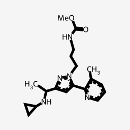 COC(=O)NCCCn1nc(C(C)NC2CC2)cc1-c1ncccc1C